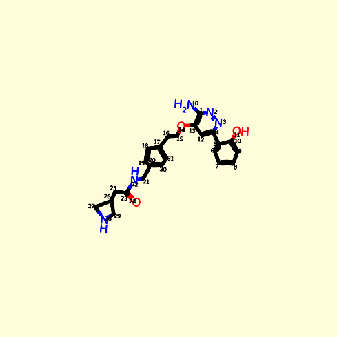 Nc1nnc(-c2ccccc2O)cc1OCCc1ccc(CNC(=O)CC2CNC2)cc1